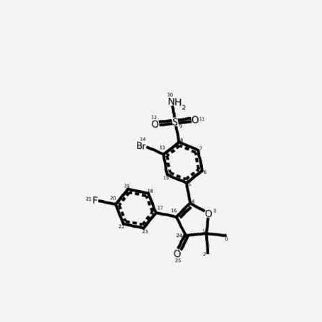 CC1(C)OC(c2ccc(S(N)(=O)=O)c(Br)c2)=C(c2ccc(F)cc2)C1=O